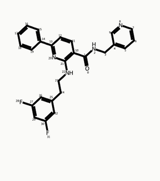 O=C(NCc1cccnc1)c1ccc(-c2ccccc2)nc1NCCc1cc(F)cc(F)c1